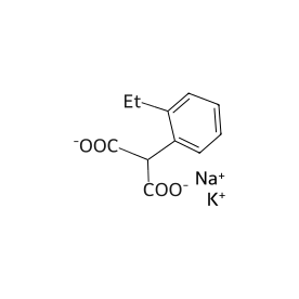 CCc1ccccc1C(C(=O)[O-])C(=O)[O-].[K+].[Na+]